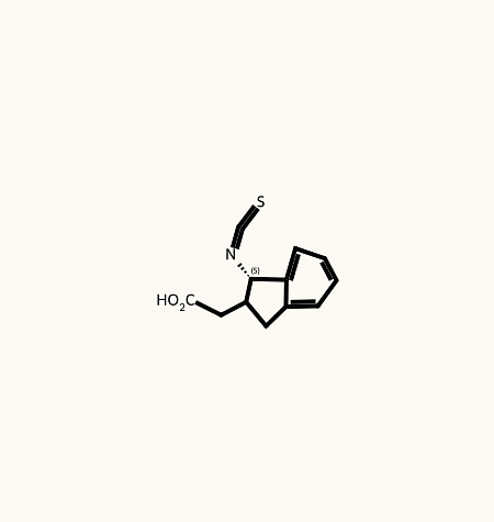 O=C(O)CC1Cc2ccccc2[C@H]1N=C=S